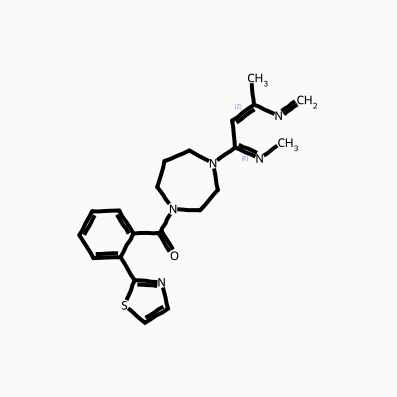 C=N/C(C)=C\C(=N/C)N1CCCN(C(=O)c2ccccc2-c2nccs2)CC1